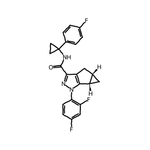 O=C(NC1(c2ccc(F)cc2)CC1)c1nn(-c2ccc(F)cc2F)c2c1C[C@@H]1C[C@H]21